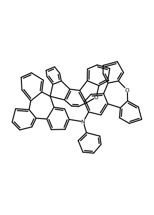 c1ccc(N(c2ccc3c(c2)-c2ccccc2Oc2ccccc2-3)c2ccc3c(c2)C2(c4ccccc4-c4ccccc4-3)c3ccccc3-c3c2ccc2oc4ccccc4c32)cc1